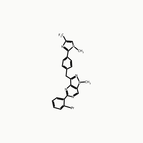 CC(C)c1ccccc1-c1ncc2c(n1)c(Cc1ccc(-c3nc(C(F)(F)F)cn3C)cc1)nn2C